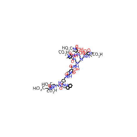 Cc1cc(C(=O)NCCN(CCCN(CCNC(=O)c2cc(C)n(CC(=O)O)c(=O)c2O)CCNC(=O)c2cc(C)n(CC(=O)NCC3CCC(C(=O)N[C@@H](Cc4ccc5ccccc5c4)C(=O)NCCCC[C@H](NC(=O)N[C@@H](CCC(=O)O)C(=O)O)C(=O)O)CC3)c(=O)c2O)CCNC(=O)c2cc(C)n(CC(=O)O)c(=O)c2O)c(O)c(=O)n1CC(=O)O